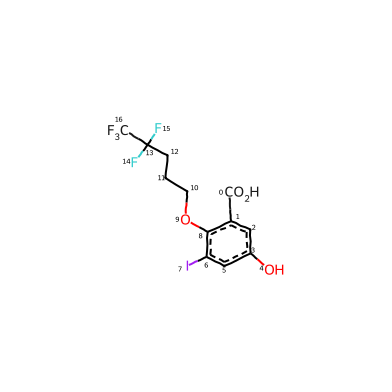 O=C(O)c1cc(O)cc(I)c1OCCCC(F)(F)C(F)(F)F